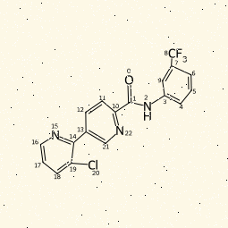 O=C(Nc1cccc(C(F)(F)F)c1)c1ccc(-c2ncccc2Cl)cn1